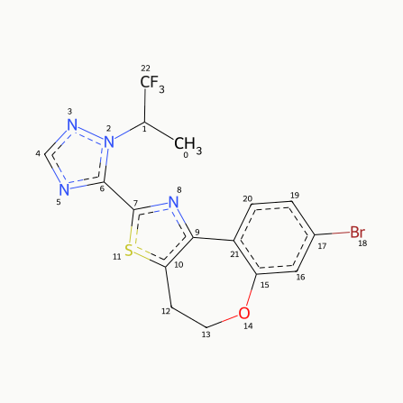 CC(n1ncnc1-c1nc2c(s1)CCOc1cc(Br)ccc1-2)C(F)(F)F